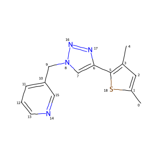 Cc1cc(C)c(-c2cn(Cc3cccnc3)nn2)s1